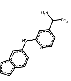 CC(N)c1ccnc(Nc2ccc3cc[nH]c3c2)c1